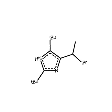 CCC(C)c1[nH]c(C(C)(C)C)nc1C(C)C(C)C